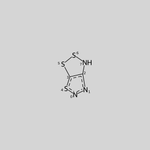 n1nc2c(s1)SSN2